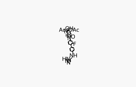 CC(=O)OP(=O)(O)N(C[C@H]1CN(c2ccc(-c3ccc(CNCc4cnn[nH]4)cc3)c(F)c2)C(=O)O1)C(C)=O